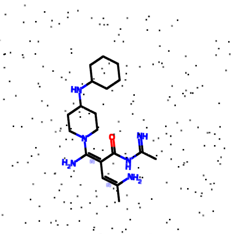 CC(=N)NC(=O)C(/C=C(/C)N)=C(/N)N1CCC(NC2CCCCC2)CC1